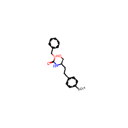 CCCCCCCCc1ccc(CCC(CO)NC(=O)OCc2ccccc2)cc1